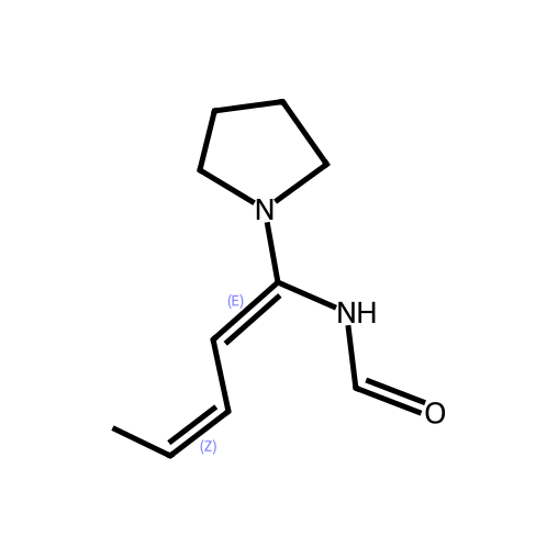 C/C=C\C=C(/NC=O)N1CCCC1